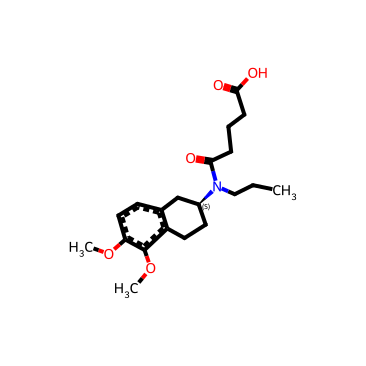 CCCN(C(=O)CCCC(=O)O)[C@H]1CCc2c(ccc(OC)c2OC)C1